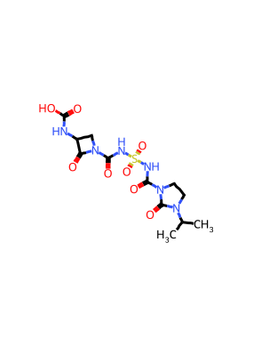 CC(C)N1CCN(C(=O)NS(=O)(=O)NC(=O)N2CC(NC(=O)O)C2=O)C1=O